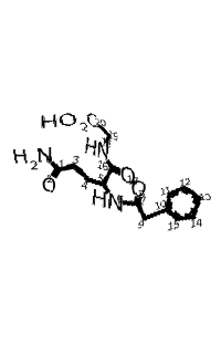 NC(=O)CCC(NC(=O)Cc1ccccc1)C(=O)NCC(=O)O